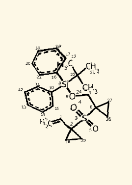 C=CC1(S(=O)(=O)C2(CO[Si](c3ccccc3)(c3ccccc3)C(C)(C)C)CC2)CC1